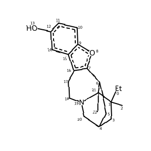 CCC1(C)CC2CC3c4oc5ccc(O)cc5c4CCN(C2)C31C